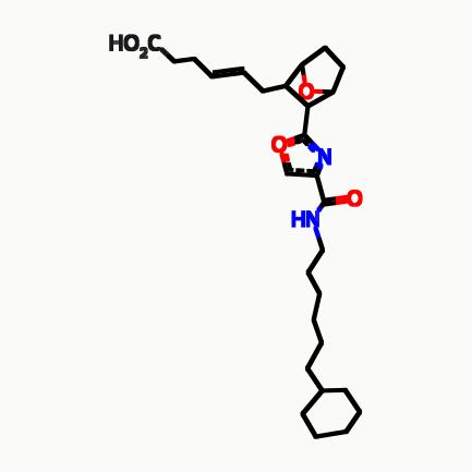 O=C(O)CCC=CCC1C2CCC(O2)C1c1nc(C(=O)NCCCCCCC2CCCCC2)co1